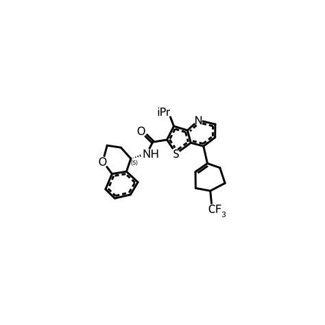 CC(C)c1c(C(=O)N[C@H]2CCOc3ccccc32)sc2c(C3=CCC(C(F)(F)F)CC3)ccnc12